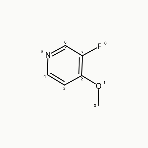 COc1ccn[c]c1F